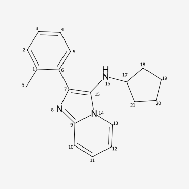 Cc1ccccc1-c1nc2ccccn2c1NC1CCCC1